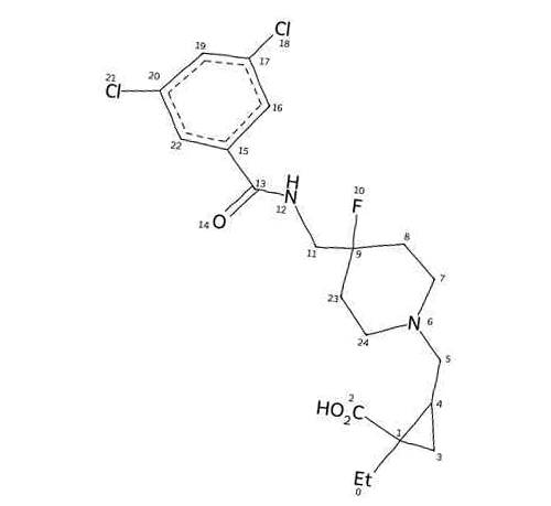 CCC1(C(=O)O)CC1CN1CCC(F)(CNC(=O)c2cc(Cl)cc(Cl)c2)CC1